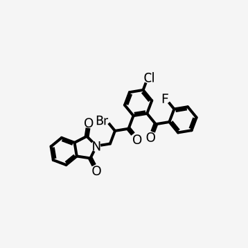 O=C(c1ccccc1F)c1cc(Cl)ccc1C(=O)C(Br)CN1C(=O)c2ccccc2C1=O